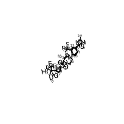 COC(=O)C(O)(c1ccc(S(=O)(=O)N2CCN(c3ccc(-c4nc(C)no4)cc3C(F)(F)F)C[C@H]2C)s1)C(F)(F)F